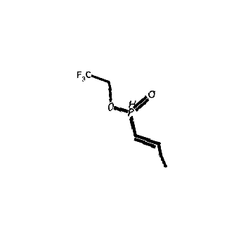 CC=C[PH](=O)OCC(F)(F)F